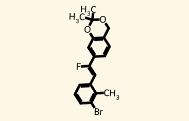 Cc1c(Br)cccc1/C=C(\F)c1ccc2c(c1)OC(C)(C)OC2